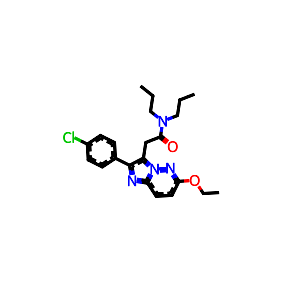 CCCN(CCC)C(=O)Cc1c(-c2ccc(Cl)cc2)nc2ccc(OCC)nn12